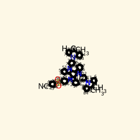 CC1(C)c2ccccc2N(c2ccc(-n3c4ccccc4c4c3c3c5ccccc5n(-c5ccc(S(=O)(=O)c6ccc(C#N)cc6)cc5)c3c3c5ccccc5n(-c5ccc(N6c7ccccc7C(C)(C)c7ccccc76)cc5)c43)cc2)c2ccccc21